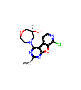 CSc1nc(N2CCOC[C@@](C)(O)C2)c2c(n1)oc1c(Cl)nccc12